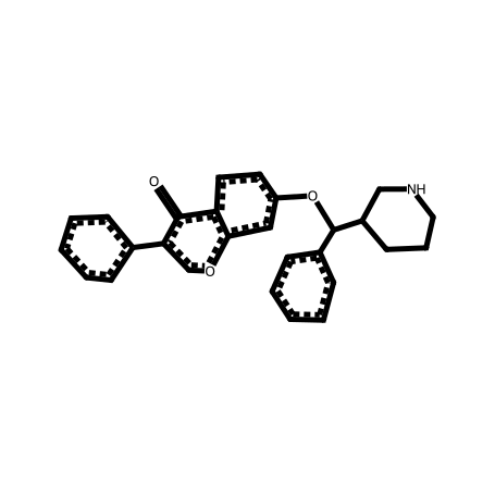 O=c1c(-c2ccccc2)coc2cc(OC(c3ccccc3)C3CCCNC3)ccc12